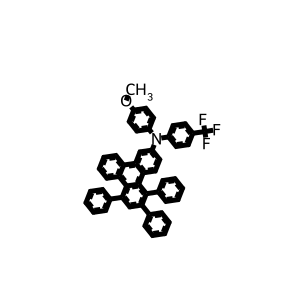 COc1ccc(N(c2ccc(C(F)(F)F)cc2)c2ccc3c(c2)c2ccccc2c2c(-c4ccccc4)cc(-c4ccccc4)c(-c4ccccc4)c32)cc1